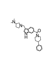 CN(C)C1CCN(Cc2c[nH]c3cc(C(=O)N4CCC(c5ccccc5)CC4)ccc23)C1